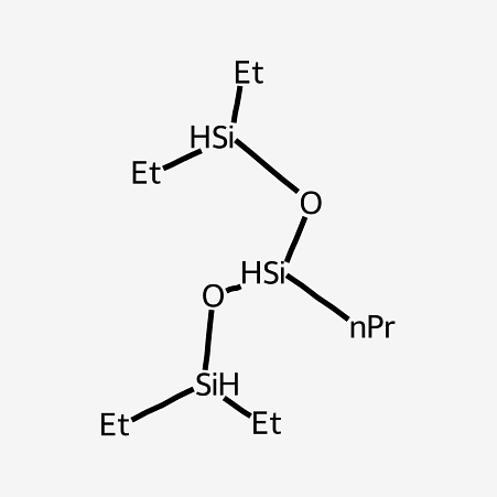 CCC[SiH](O[SiH](CC)CC)O[SiH](CC)CC